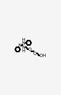 OCCOCCOCCN/C(=N\C1CCCCC1)NC1CCCCC1